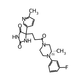 Cc1ccc(C2(CCC(=O)N3CCN(c4cccc(F)c4)[C@@H](C)C3)NC(=O)NC2=O)cn1